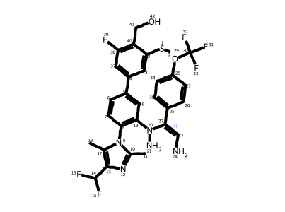 CSc1cc(-c2ccc(-n3c(C)nc(C(F)F)c3C)c(N(N)/C(=C\N)c3ccc(OC(F)(F)F)cc3)c2)cc(F)c1CO